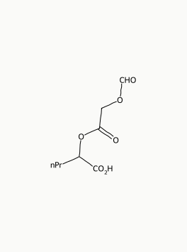 CCCC(OC(=O)COC=O)C(=O)O